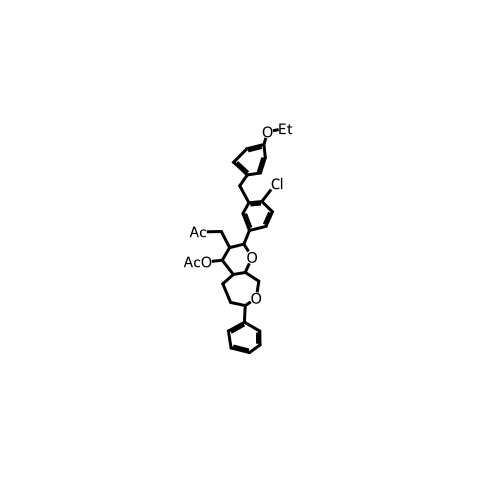 CCOc1ccc(Cc2cc(C3OC4COC(c5ccccc5)CCC4C(OC(C)=O)C3CC(C)=O)ccc2Cl)cc1